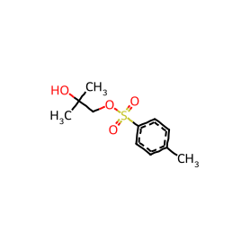 Cc1ccc(S(=O)(=O)OCC(C)(C)O)cc1